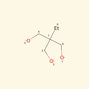 CCC(C[O])(C[O])C[O]